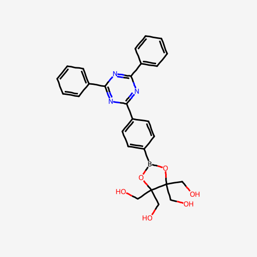 OCC1(CO)OB(c2ccc(-c3nc(-c4ccccc4)nc(-c4ccccc4)n3)cc2)OC1(CO)CO